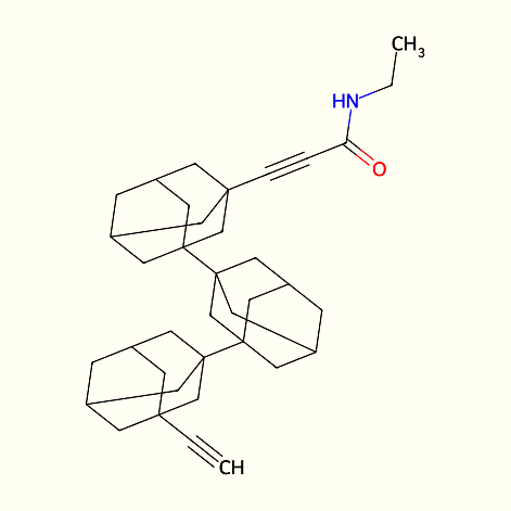 C#CC12CC3CC(C1)CC(C14CC5CC(C1)CC(C16CC7CC(CC(C#CC(=O)NCC)(C7)C1)C6)(C5)C4)(C3)C2